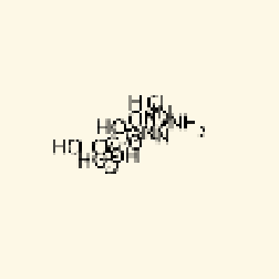 Nc1nc(Cl)nc2c1ncn2[C@@H]1O[C@H](CO[C@@H](C(=O)O)P(=O)(O)O)[C@@H](O)[C@H]1O